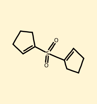 O=S(=O)(C1=CCCC1)C1=CCCC1